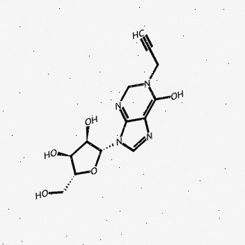 C#CCN1CN=c2c(ncn2[C@@H]2O[C@H](CO)[C@@H](O)[C@H]2O)=C1O